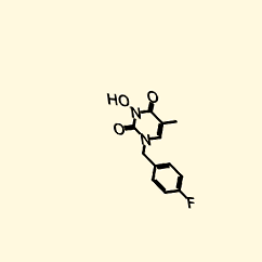 Cc1cn(Cc2ccc(F)cc2)c(=O)n(O)c1=O